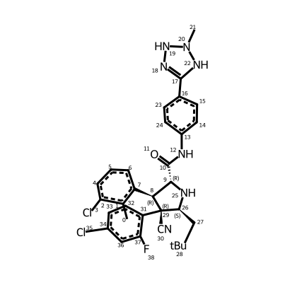 Cc1c(Cl)cccc1[C@H]1[C@H](C(=O)Nc2ccc(C3=NNN(C)N3)cc2)N[C@@H](CC(C)(C)C)[C@]1(C#N)c1ccc(Cl)cc1F